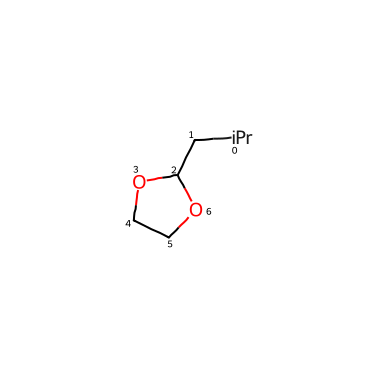 [CH2]C(C)CC1OCCO1